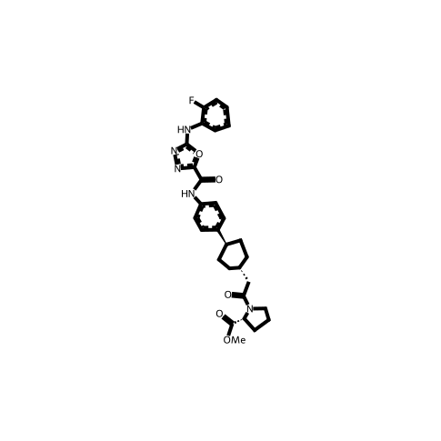 COC(=O)[C@H]1CCCN1C(=O)C[C@H]1CC[C@H](c2ccc(NC(=O)c3nnc(Nc4ccccc4F)o3)cc2)CC1